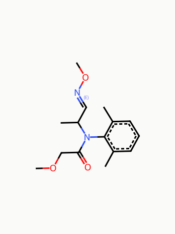 COCC(=O)N(c1c(C)cccc1C)C(C)/C=N/OC